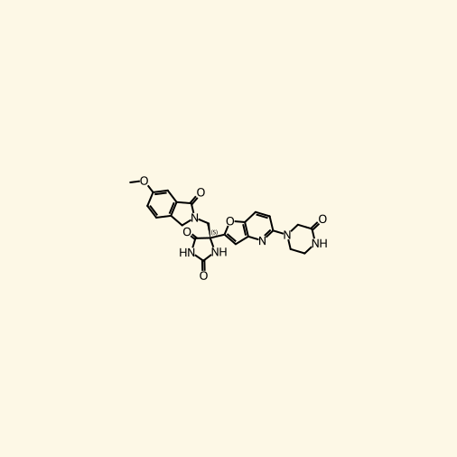 COc1ccc2c(c1)C(=O)N(C[C@@]1(c3cc4nc(N5CCNC(=O)C5)ccc4o3)NC(=O)NC1=O)C2